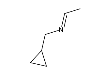 CC=NCC1CC1